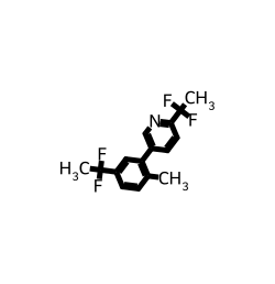 Cc1ccc(C(C)(F)F)cc1-c1ccc(C(C)(F)F)nc1